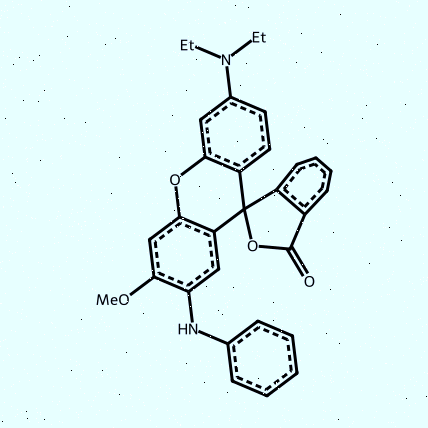 CCN(CC)c1ccc2c(c1)Oc1cc(OC)c(Nc3ccccc3)cc1C21OC(=O)c2ccccc21